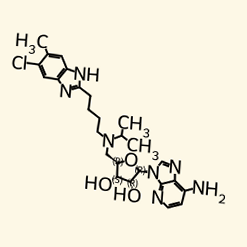 Cc1cc2[nH]c(CCCCN(C[C@H]3O[C@@H](n4cnc5c(N)ccnc54)[C@H](O)[C@@H]3O)C(C)C)nc2cc1Cl